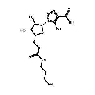 NCCCNC(=O)OC[C@H]1O[C@@H](n2cnc(C(N)=O)c2O)[C@H](O)[C@@H]1O